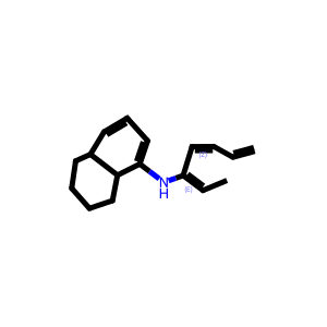 C=C/C=C\C(=C/C)NC1=CC=CC2CCCCC12